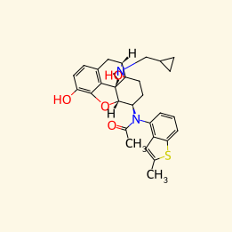 CC(=O)N(c1cccc2sc(C)cc12)[C@@H]1CC[C@@]2(O)[C@H]3Cc4ccc(O)c5c4[C@@]2(CCN3CC2CC2)[C@H]1O5